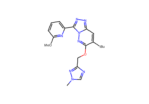 COc1cccc(-c2nnc3cc(C(C)(C)C)c(OCc4ncn(C)n4)nn23)n1